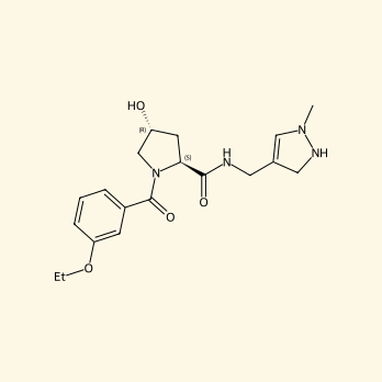 CCOc1cccc(C(=O)N2C[C@H](O)C[C@H]2C(=O)NCC2=CN(C)NC2)c1